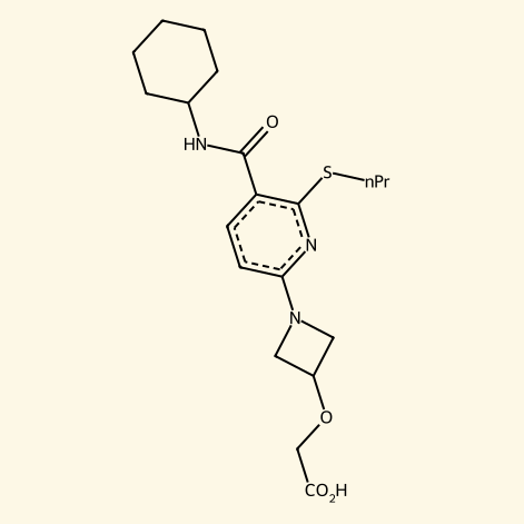 CCCSc1nc(N2CC(OCC(=O)O)C2)ccc1C(=O)NC1CCCCC1